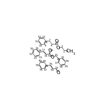 CCCOC(=O)CCc1ccccc1.O=C(C=Cc1ccccc1)OCc1ccccc1.O=CC=Cc1ccccc1